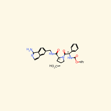 CC(=O)O.CC(C)OC(=O)N[C@@H](C(=O)N1CCC[C@H]1C(=O)NCc1ccc2c(N)nccc2c1)c1ccccc1